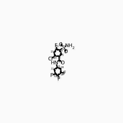 NS(=O)(=O)c1cc(C(=O)Nc2cc(F)c(F)c(F)c2)c(Cl)cc1F